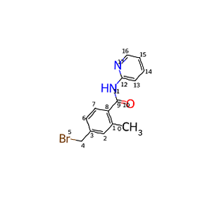 Cc1cc(CBr)ccc1C(=O)Nc1ccccn1